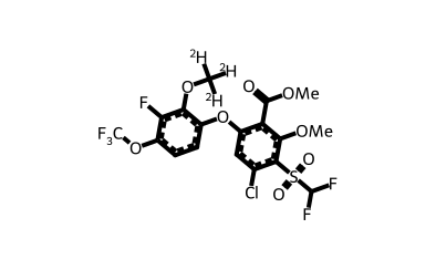 [2H]C([2H])([2H])Oc1c(Oc2cc(Cl)c(S(=O)(=O)C(F)F)c(OC)c2C(=O)OC)ccc(OC(F)(F)F)c1F